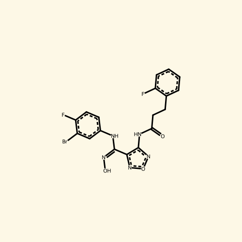 O=C(CCc1ccccc1F)Nc1nonc1/C(=N\O)Nc1ccc(F)c(Br)c1